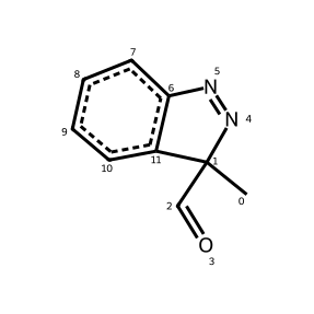 CC1(C=O)N=Nc2ccccc21